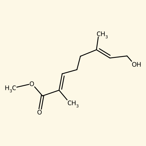 COC(=O)C(C)=CCCC(C)=CCO